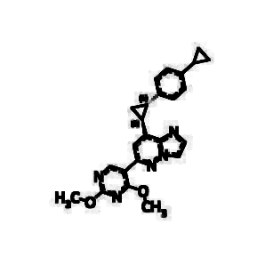 COc1ncc(-c2cc([C@H]3C[C@@H]3c3ccc(C4CC4)cc3)c3nccn3n2)c(OC)n1